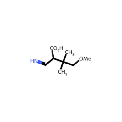 COCC(C)(C)C(C=N)C(=O)O